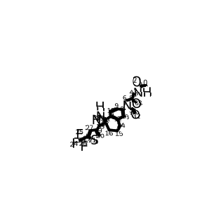 CC(=O)NCC1CN(c2ccc3c(c2)CCCc2c(-c4csc(C(F)(F)F)c4)n[nH]c2-3)C(=O)O1